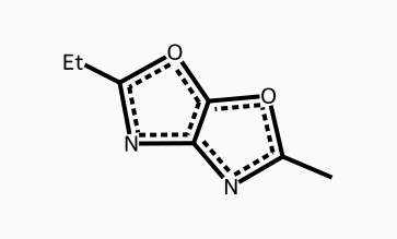 CCc1nc2nc(C)oc2o1